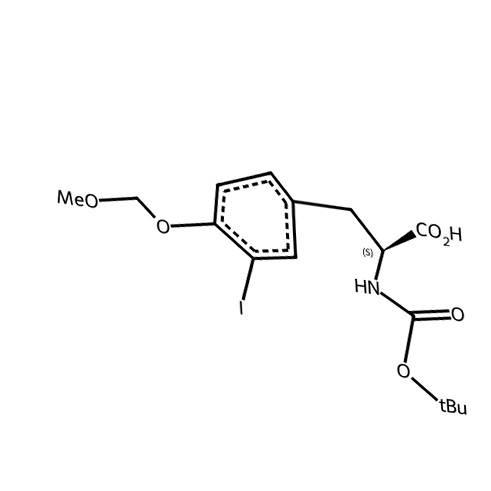 COCOc1ccc(C[C@H](NC(=O)OC(C)(C)C)C(=O)O)cc1I